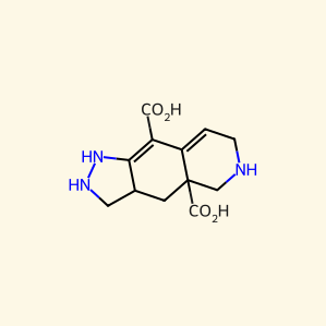 O=C(O)C1=C2NNCC2CC2(C(=O)O)CNCC=C12